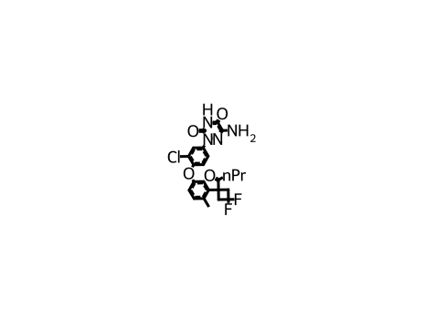 CCCC(=O)C1(c2cc(Oc3ccc(-n4nc(N)c(=O)[nH]c4=O)cc3Cl)ccc2C)CC(F)(F)C1